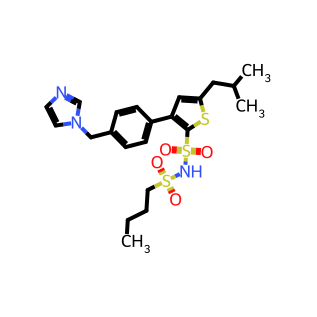 CCCCS(=O)(=O)NS(=O)(=O)c1sc(CC(C)C)cc1-c1ccc(Cn2ccnc2)cc1